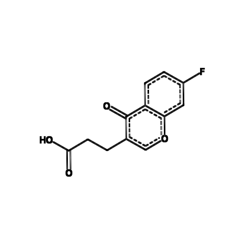 O=C(O)CCc1coc2cc(F)ccc2c1=O